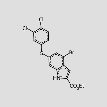 CCOC(=O)c1cc2c(Br)cc(Sc3ccc(Cl)c(Cl)c3)cc2[nH]1